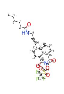 CCCCCC(=O)NCC#Cc1ccc2c3c(cccc13)C(=O)N(OS(=O)(=O)C(F)(F)F)C2=O